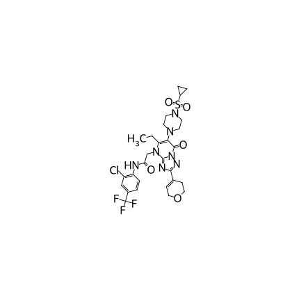 CCc1c(N2CCN(S(=O)(=O)C3CC3)CC2)c(=O)n2nc(C3=CCOCC3)nc2n1CC(=O)Nc1ccc(C(F)(F)F)cc1Cl